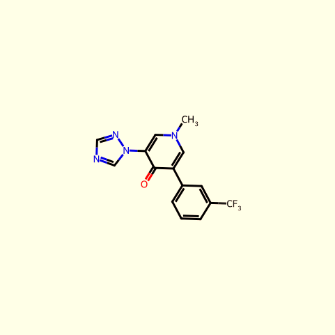 Cn1cc(-c2cccc(C(F)(F)F)c2)c(=O)c(-n2cncn2)c1